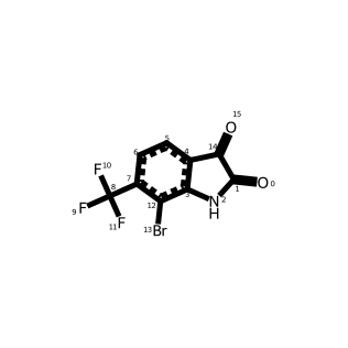 O=C1Nc2c(ccc(C(F)(F)F)c2Br)C1=O